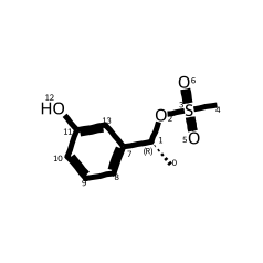 C[C@@H](OS(C)(=O)=O)c1cccc(O)c1